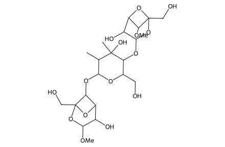 COC1OC2(CO)OC(C1O)C2OC1OC(CO)C(OC2OC3(CO)OC(C2O)C3OC)C(C)(O)C1C